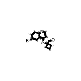 O=CC1(Sc2ccnc3ccc(Br)cc23)CCC1